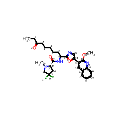 CCC(=O)CCCCCC(NC(=O)[C@@H]1CC(F)(F)CN1C)c1ncc(-c2cc3ccccc3nc2OC)o1